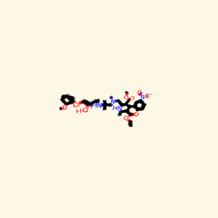 CCOC(=O)C1=C(C)NC(CN(C)CC(C)(C)NCC(O)COc2ccccc2OC)=C(C(=O)OC)C1c1cccc([N+](=O)[O-])c1